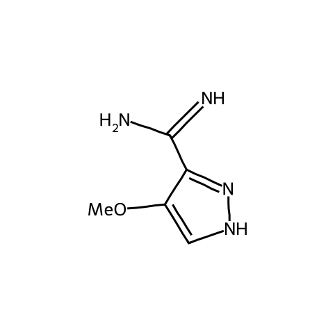 COc1c[nH]nc1C(=N)N